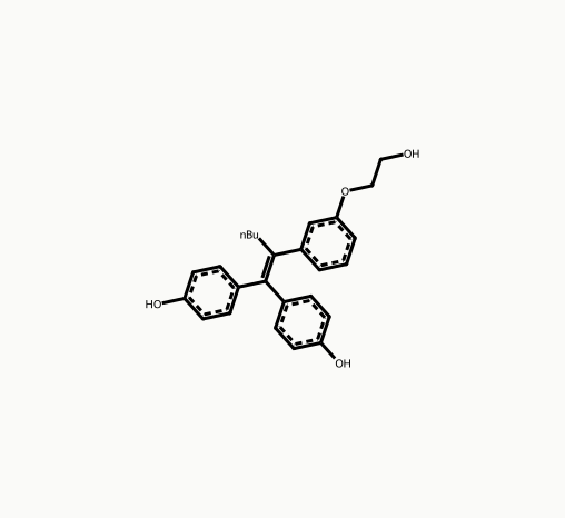 CCCCC(=C(c1ccc(O)cc1)c1ccc(O)cc1)c1cccc(OCCO)c1